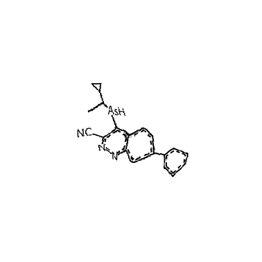 CC([AsH]c1c(C#N)nnc2cc(-c3ccccc3)ccc12)C1CC1